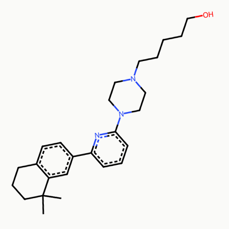 CC1(C)CCCc2ccc(-c3cccc(N4CCN(CCCCCO)CC4)n3)cc21